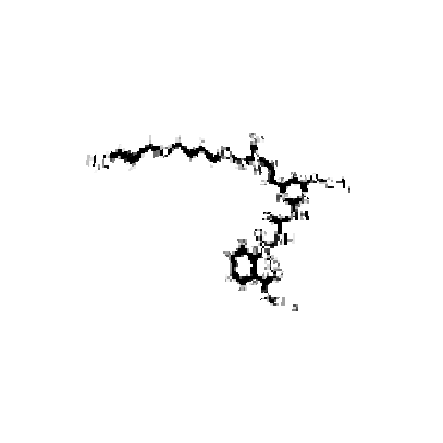 CCCCOCCCCOS[PH](=S)CCc1cc(OC)nc(NC(=O)NS(=O)(=O)c2ccccc2C(=O)OC)n1